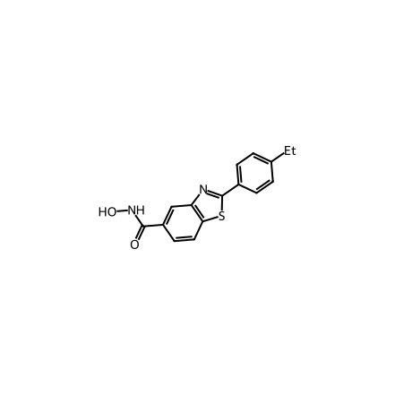 CCc1ccc(-c2nc3cc(C(=O)NO)ccc3s2)cc1